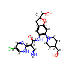 C[C@@]1(CO)Cc2cc(NC(=O)/C(C=N)=C3\N=CC(Cl)=CN3)c(N3CCC(CO)CC3)cc2O1